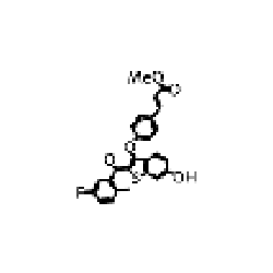 COC(=O)/C=C/c1ccc(Oc2c(C(=O)c3cc(F)ccc3C)sc3cc(O)ccc23)cc1